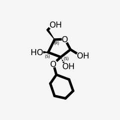 OC[C@H]1OC(O)[C@@](O)(OC2CCCCC2)[C@H]1O